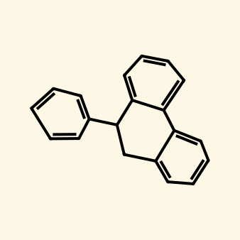 c1ccc(C2Cc3ccccc3-c3ccccc32)cc1